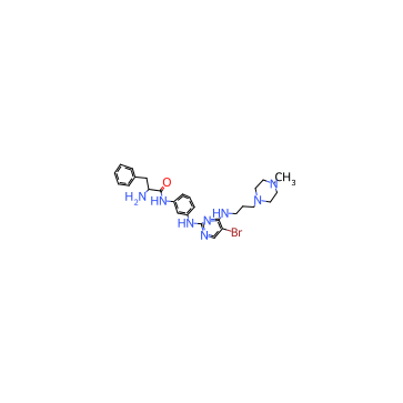 CN1CCN(CCCNc2nc(Nc3cccc(NC(=O)C(N)Cc4ccccc4)c3)ncc2Br)CC1